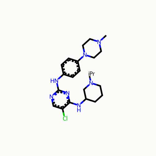 CC(C)N1CCCC(Nc2nc(Nc3ccc(N4CCN(C)CC4)cc3)ncc2Cl)C1